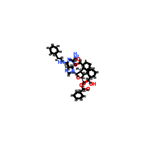 C[C@]1(c2ccccc2C(=O)O)[C@@H](c2ccccc2C(=O)O)[C@H](COC(=O)c2ccccc2)O[C@H]1n1cnc2c(NCCc3ccccc3)nc(N)nc21